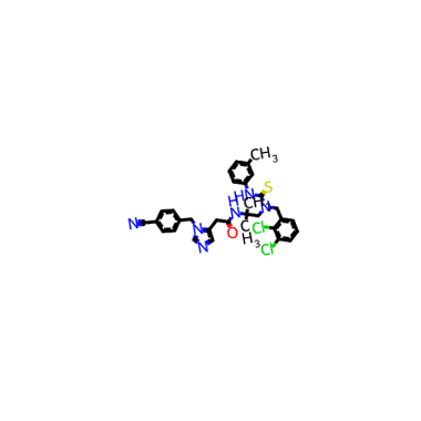 Cc1cccc(NC(=S)N(Cc2cccc(Cl)c2Cl)CC(C)(C)NC(=O)Cc2cncn2Cc2ccc(C#N)cc2)c1